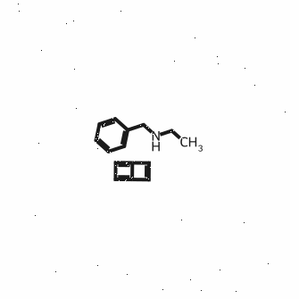 CCNCc1ccccc1.c1cc2ccc1-2